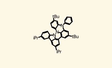 CC(C)c1ccc2c(c1)c1cc(C(C)C)cc3c4cc(C(C)(C)C)cc5c4-n(c4ccc(C(C)(C)C)cc4n5-c4ccccc4)n2c31